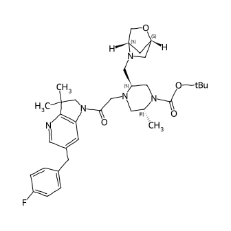 C[C@@H]1CN(CC(=O)N2CC(C)(C)c3ncc(Cc4ccc(F)cc4)cc32)[C@@H](CN2C[C@@H]3C[C@H]2CO3)CN1C(=O)OC(C)(C)C